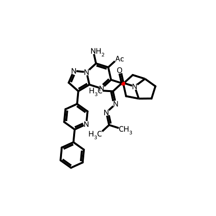 CC(=O)c1c(C2CC3CCC(C2)N3C(=O)/C(C)=N/N=C(C)C)nc2c(-c3ccc(-c4ccccc4)nc3)cnn2c1N